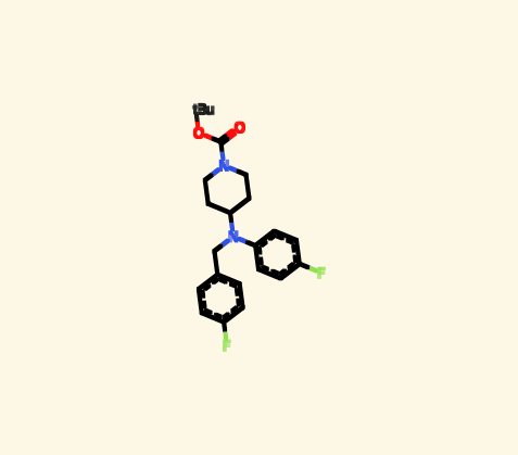 CC(C)(C)OC(=O)N1CCC(N(Cc2ccc(F)cc2)c2ccc(F)cc2)CC1